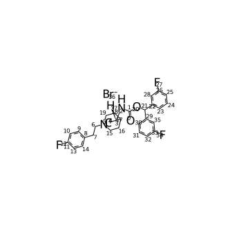 O=C(N[C@H]1C[N+]2(CCc3ccc(F)cc3)CCC1CC2)OC(c1cccc(F)c1)c1cccc(F)c1.[Br-]